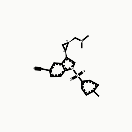 Cc1ccc(S(=O)(=O)n2cc([C@H]3C[C@H]3CN(C)C)c3cc(C#N)ccc32)cc1